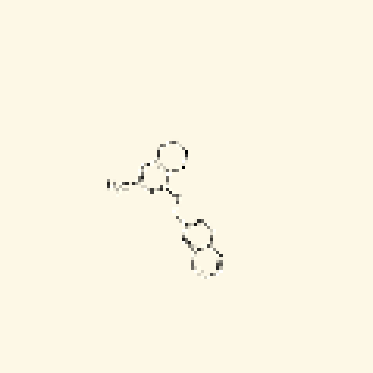 Cc1cc2c(c(SCC3=CCC4C=CC=CC4=C3)c1)CCCC2